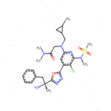 CC1CC1CN(CC(=O)N(C)C)c1cc(-c2nnc([C@](C)(N)Cc3ccccc3)o2)c(Cl)c(N(C)S(C)(=O)=O)n1